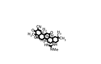 CNC(=N)N[C@]12CCC(C)(C)C[C@H]1[C@H]1C(=O)C=C3[C@@]4(C)C=C(C#N)C(=O)C(C)(C)[C@@H]4CC[C@@]3(C)[C@]1(C)CC2